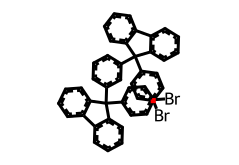 Brc1ccc(C2(c3cccc(C4(c5ccc(Br)cc5)c5ccccc5-c5ccccc54)c3)c3ccccc3-c3ccccc32)cc1